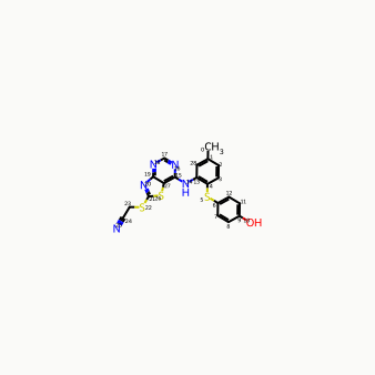 Cc1ccc(Sc2ccc(O)cc2)c(Nc2ncnc3nc(SCC#N)sc23)c1